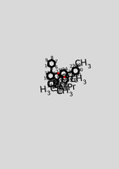 CC1=Cc2c(-c3ccccc3)ccc(C)c2[CH]1[Zr]([Cl])([Cl])([CH]1C(C(C)C)=Cc2c(-c3cc(C)ccc3C)cccc21)[SiH](C)C